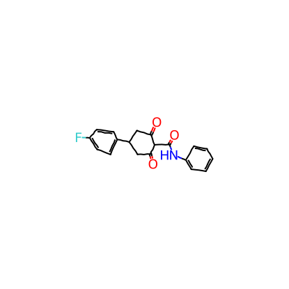 O=C1CC(c2ccc(F)cc2)CC(=O)C1C(=O)Nc1ccccc1